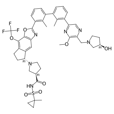 COc1nc(-c2cccc(-c3cccc(-c4nc5cc6c(c(OC(F)(F)F)c5o4)CC[C@H]6N4CC[C@@H](C(=O)NS(=O)(=O)C5(C)CC5)C4)c3C)c2C)cnc1CN1CC[C@@H](O)C1